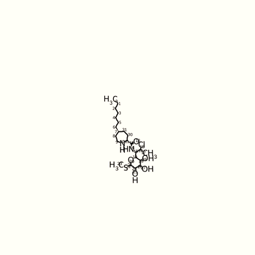 CCCCCCC[C@@H]1CCN[C@H](C(=O)N[C@H]([C@H](C)Cl)[C@H]2OC(SC)[C@H](O)C(O)C2O)CC1